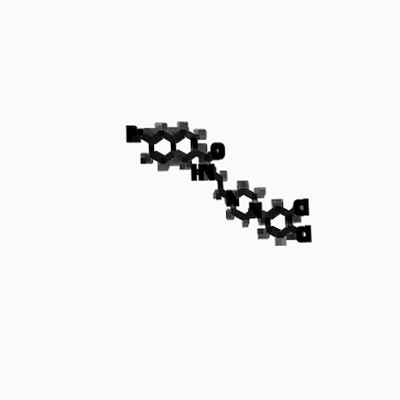 O=C(NCCN1CCN(c2ccc(Cl)c(Cl)c2)CC1)c1ccc2cc(Br)ccc2c1